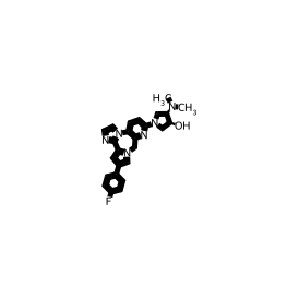 CN(C)[C@@H]1CN(c2ccc3c(n2)Cn2cc(-c4ccc(F)cc4)cc2-c2nccn2-3)C[C@@H]1O